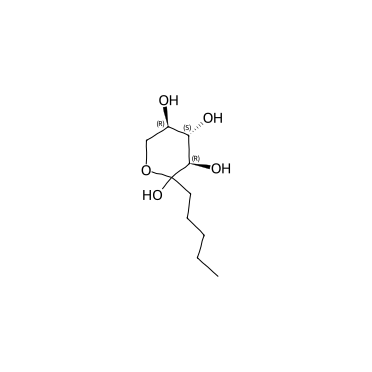 CCCCCC1(O)OC[C@@H](O)[C@H](O)[C@H]1O